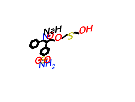 NS(=O)(=O)c1ccc(-c2c(-c3ccccc3)noc2COCCSCCO)cc1.[NaH]